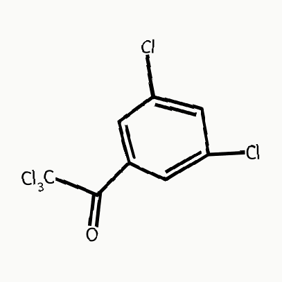 O=C(c1cc(Cl)cc(Cl)c1)C(Cl)(Cl)Cl